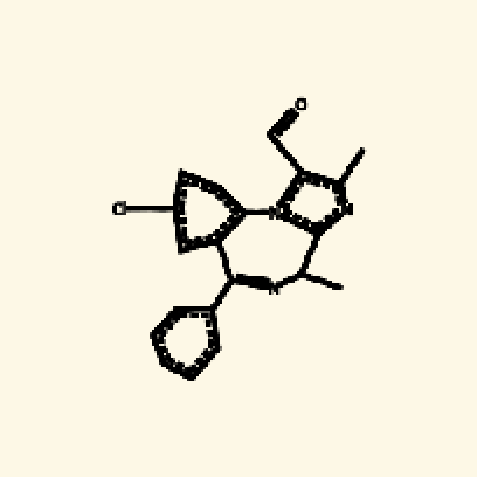 Cc1nc2n(c1C=O)-c1ccc(Cl)cc1C(c1ccccc1)=NC2C